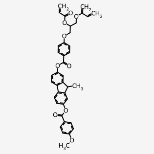 C=CC(=C)OCC(COc1ccc(C(=O)Oc2ccc3c(c2)C(C)c2cc(OC(=O)c4ccc(OC)cc4)ccc2-3)cc1)OC(=O)C=C